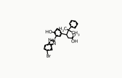 CC(C)(c1ccccc1)C(CC(=O)O)c1ccc(O)c(-n2nc3ccc(Br)cc3n2)c1